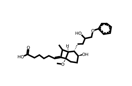 CO[C@@]12CC[C@H](O)[C@@H](CCC(O)COc3ccccc3)[C@@H]1C(C)C2=CCCCCC(=O)O